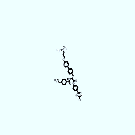 CN(C)CCCOc1ccc(-c2ccc(C[C@H](NC(=O)[C@H]3CC[C@H](CN)CC3)C(=O)Nc3ccc(-c4nnc(Cl)[nH]4)cc3)cc2)cn1